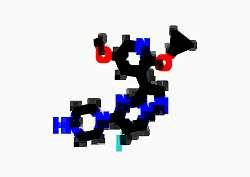 COc1cnc(OC2CC2)c(-c2cnn3cc(F)c(N4CCNCC4)nc23)c1